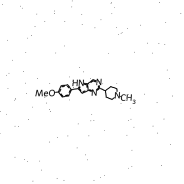 COc1ccc(-c2cc3nc(C4CCN(C)CC4)ncc3[nH]2)cc1